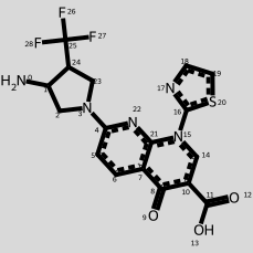 NC1CN(c2ccc3c(=O)c(C(=O)O)cn(-c4nccs4)c3n2)CC1C(F)(F)F